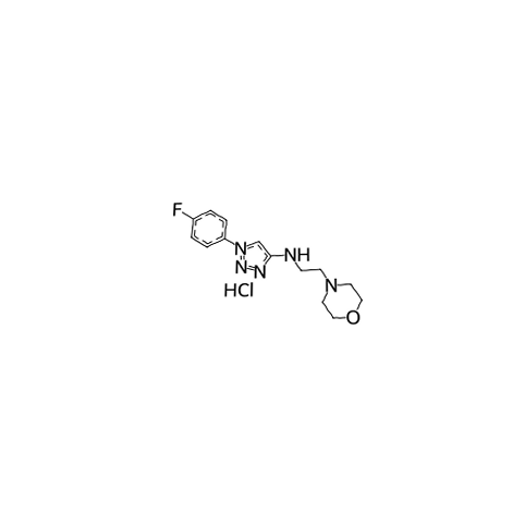 Cl.Fc1ccc(-n2cc(NCCN3CCOCC3)nn2)cc1